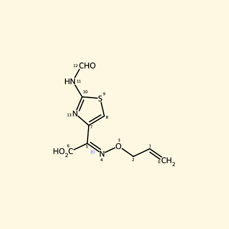 C=CCO/N=C(/C(=O)O)c1csc(NC=O)n1